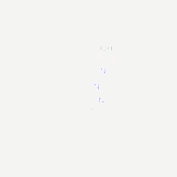 CC(C)(C)OC(=O)N1CCN(c2ccc(Cc3ccccc3)cn2)CC1